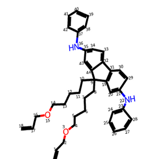 C=CCOCCCCCC1(CCCCCOCC=C)c2cc(Nc3ccccc3)ccc2-c2ccc(Nc3ccccc3)cc21